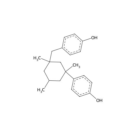 CC1CC(C)(Cc2ccc(O)cc2)CC(C)(c2ccc(O)cc2)C1